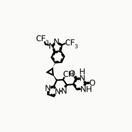 CC1C(c2c[nH]c(=O)[nH]c2=O)=Nn2ccnc2C1[C@H]1C[C@@H]1c1ccc2c(C(F)(F)F)nn(CC(F)(F)F)c2c1